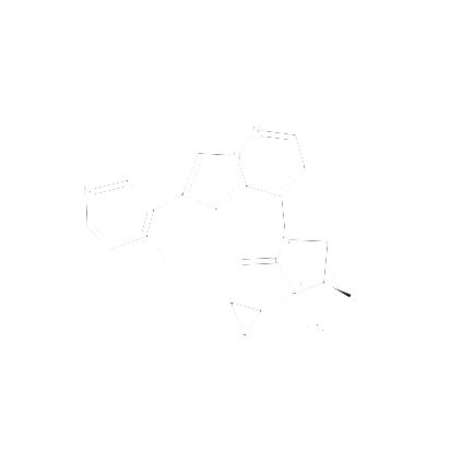 C[C@@H]1CN(c2ccnn3cc(-c4cnccc4C(F)(F)F)cc23)C(=O)[C@]1(C#N)C1CC1